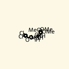 COc1cc(NC(=O)NC(CN2CCC(C(=O)c3ccc(Cl)c(Cl)c3)CC2)C(C)C)cc(OC)c1OC